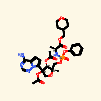 CC(=O)O[C@@H]1[C@@](C)(CO[P@](=O)(N[C@@H](C)C(=O)OCC2CCOCC2)Oc2ccccc2)OC[C@]1(OC(C)=O)c1ccc2c(N)ncnn12